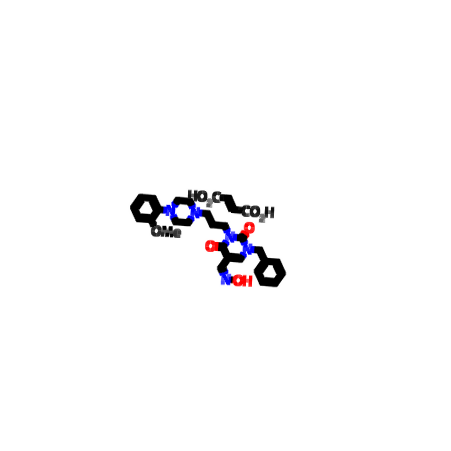 COc1ccccc1N1CCN(CCCn2c(=O)c(/C=N\O)cn(Cc3ccccc3)c2=O)CC1.O=C(O)/C=C/C(=O)O